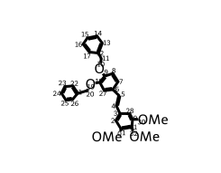 COc1cc(C=Cc2ccc(OCc3ccccc3)c(OCc3ccccc3)c2)cc(OC)c1OC